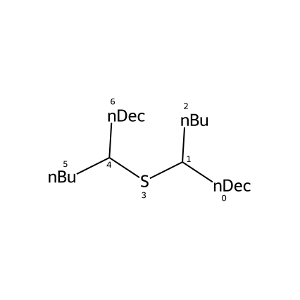 CCCCCCCCCCC(CCCC)SC(CCCC)CCCCCCCCCC